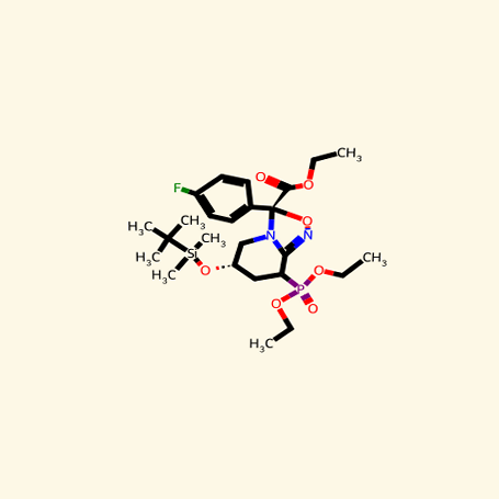 CCOC(=O)[C@@]1(c2ccc(F)cc2)ON=C2C(P(=O)(OCC)OCC)C[C@H](O[Si](C)(C)C(C)(C)C)CN21